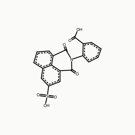 O=C(O)c1ccccc1N1C(=O)c2cccc3cc(S(=O)(=O)O)cc(c23)C1=O